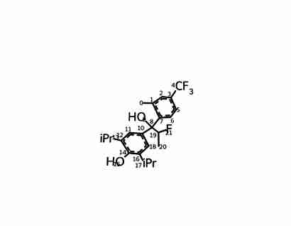 Cc1cc(C(F)(F)F)ccc1C(O)(c1cc(C(C)C)c(O)c(C(C)C)c1)C(C)F